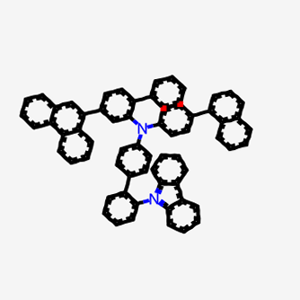 c1ccc(-c2ccc(-c3cc4ccccc4c4ccccc34)cc2N(c2ccc(-c3ccccc3-n3c4ccccc4c4ccccc43)cc2)c2ccc(-c3cccc4ccccc34)cc2)cc1